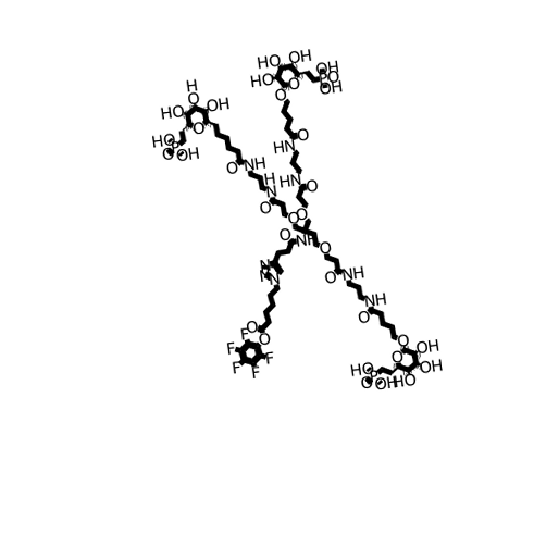 O=C(CCCCO[C@H]1O[C@H](CCP(=O)(O)O)[C@@H](O)[C@H](O)[C@@H]1O)NCCCNC(=O)CCOCCC(COCCC(=O)NCCCNC(=O)CCCCC[C@H]1O[C@H](CCP(=O)(O)O)[C@@H](O)[C@H](O)[C@@H]1O)(COCCC(=O)NCCCNC(=O)CCCCO[C@H]1O[C@H](CCP(=O)(O)O)[C@@H](O)[C@H](O)[C@@H]1O)NC(=O)CCc1cn(CCCCCC(=O)Oc2c(F)c(F)c(F)c(F)c2F)nn1